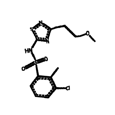 COCCc1nsc(NS(=O)(=O)c2cccc(Cl)c2C)n1